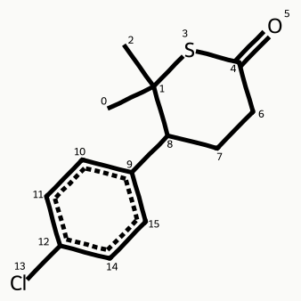 CC1(C)SC(=O)CCC1c1ccc(Cl)cc1